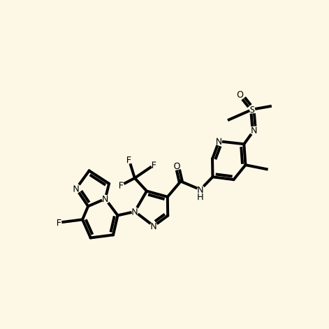 Cc1cc(NC(=O)c2cnn(-c3ccc(F)c4nccn34)c2C(F)(F)F)cnc1N=S(C)(C)=O